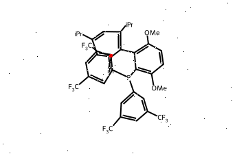 COc1ccc(OC)c(P(c2cc(C(F)(F)F)cc(C(F)(F)F)c2)c2cc(C(F)(F)F)cc(C(F)(F)F)c2)c1-c1c(C(C)C)cc(C(C)C)cc1C(C)C